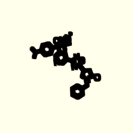 CC(C)c1ccc(C(O)(c2cncc(-c3noc(C4CC(=O)N(Cc5ccccc5)C4)n3)c2)C2(C)CN(C)C2)cc1